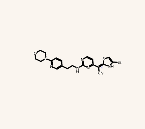 CCC1=CS/C(=C(/C#N)c2ccnc(NCCc3ccc(N4CCOCC4)nc3)n2)N1